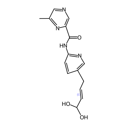 Cc1cncc(C(=O)Nc2ccc(C/C=C/C(O)O)cn2)n1